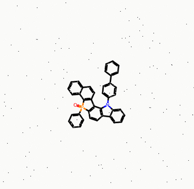 O=P1(c2ccccc2)c2ccc3c4ccccc4n(-c4ccc(-c5ccccc5)cc4)c3c2-c2ccc3ccccc3c21